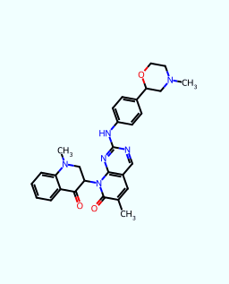 Cc1cc2cnc(Nc3ccc(C4CN(C)CCO4)cc3)nc2n(C2CN(C)c3ccccc3C2=O)c1=O